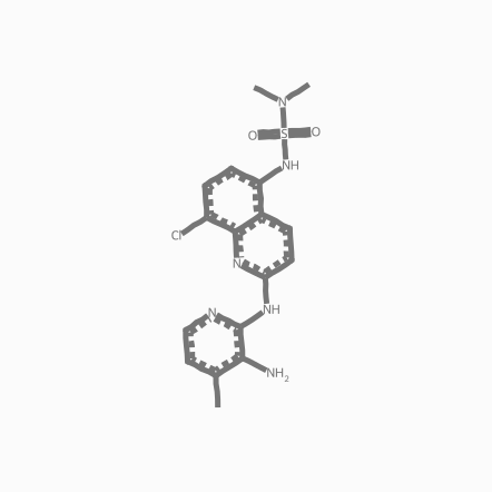 Cc1ccnc(Nc2ccc3c(NS(=O)(=O)N(C)C)ccc(Cl)c3n2)c1N